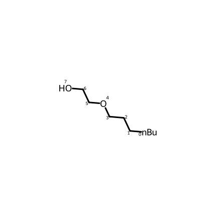 CCCCCCCOCCO